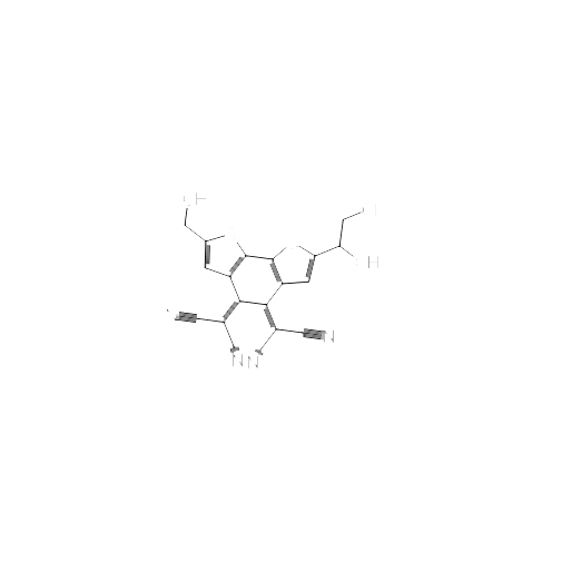 CCc1cc2c(=C(C#N)C#N)c(=C(C#N)C#N)c3cc(C(C)CC)sc3c2s1